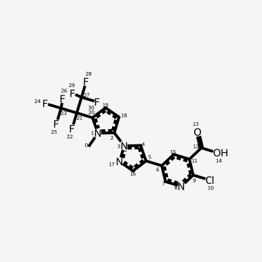 Cn1c(-n2cc(-c3cnc(Cl)c(C(=O)O)c3)cn2)ccc1C(F)(C(F)(F)F)C(F)(F)F